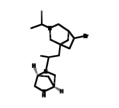 CC(C)N1CC2CC(CC(C)N3C[C@@H]4C[C@H]3CN4)(CC2Br)C1